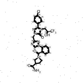 NC(=O)C1CCN(C(=O)c2ccccc2-n2cnc(Cn3nc(-c4ccc(Cl)cc4)n(C[C@H](O)C(F)(F)F)c3=O)n2)C1